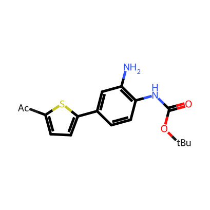 CC(=O)c1ccc(-c2ccc(NC(=O)OC(C)(C)C)c(N)c2)s1